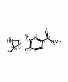 CNC(=O)c1ccc(O[C@H]2CN[C@@H]2C)c(F)n1